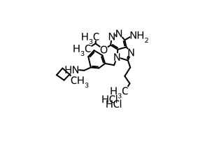 CCCCc1nc2c(N)nnc(OC(C)C)c2n1Cc1cccc(CNC2(C)CCC2)c1.Cl.Cl